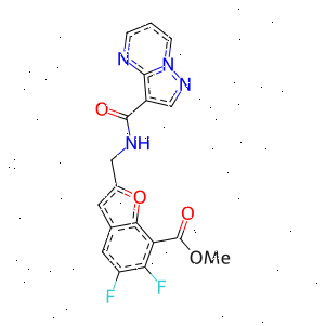 COC(=O)c1c(F)c(F)cc2cc(CNC(=O)c3cnn4cccnc34)oc12